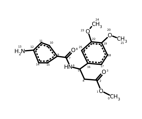 COC(=O)CC(NC(=O)c1ccc(N)cc1)c1ccc(OC)c(OC)c1